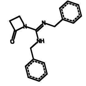 O=C1CCN1/C(=N/Cc1ccccc1)NCc1ccccc1